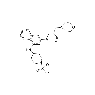 CCS(=O)(=O)N1CCC(Nc2cc(-c3cccc(CN4CCOCC4)c3)cc3ccncc23)CC1